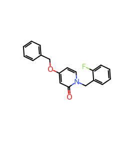 O=c1cc(OCc2ccccc2)ccn1Cc1ccccc1F